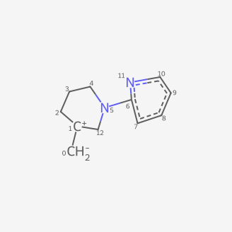 [CH2-][C+]1CCCN(c2ccccn2)C1